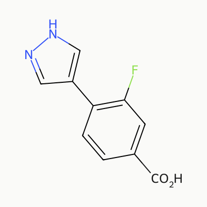 O=C(O)c1ccc(-c2cn[nH]c2)c(F)c1